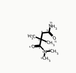 CN(C)C(=O)C(C)(C)CC(N)=O